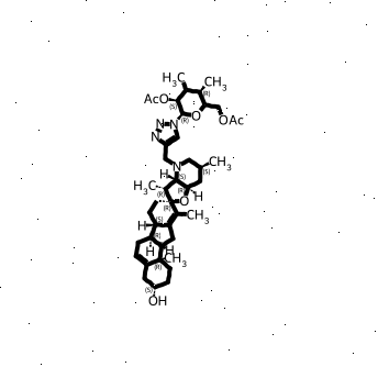 CC(=O)OCC1O[C@@H](n2cc(CN3C[C@@H](C)C[C@H]4O[C@]5(CC[C@@H]6C(=C5C)C[C@H]5[C@H]6CC=C6C[C@@H](O)CC[C@@]65C)[C@H](C)[C@@H]43)nn2)[C@@H](OC(C)=O)C(C)[C@H]1C